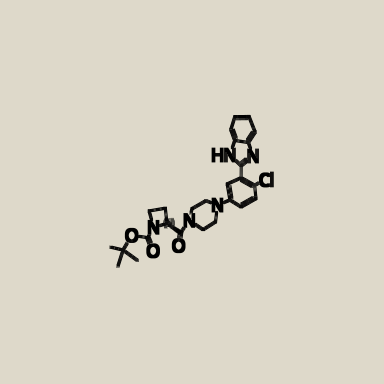 CC(C)(C)OC(=O)N1CC[C@H]1C(=O)N1CCN(c2ccc(Cl)c(-c3nc4ccccc4[nH]3)c2)CC1